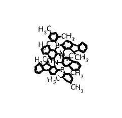 Cc1cc(C)c(B2c3ccc4c(c3N3c5cc6ccccc6c6c5N(c5cc7ccccc7c2c53)c2c(ccc3c2C(C)(C)c2ccccc2-3)B6c2c(C)cc(C)cc2C)C(C)(C)c2ccccc2-4)c(C)c1